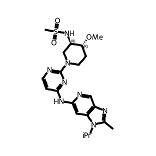 CO[C@@H]1CCN(c2nccc(Nc3cc4c(cn3)nc(C)n4C(C)C)n2)C[C@H]1NS(C)(=O)=O